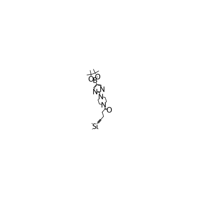 CC1(C)OB(c2cnc(N3CCN(C(=O)CCC#C[Si](C)(C)C)CC3)nc2)OC1(C)C